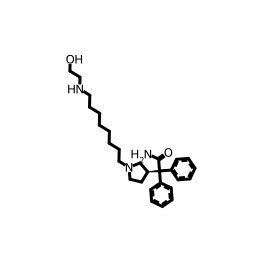 NC(=O)C(c1ccccc1)(c1ccccc1)[C@H]1CCN(CCCCCCCCNCCO)C1